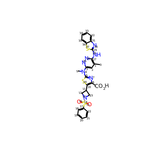 Cc1cc(N(C)c2nc(C(=O)O)c(C3CN(S(=O)(=O)c4ccccc4)C3)s2)nnc1Nc1nc2ccccc2s1